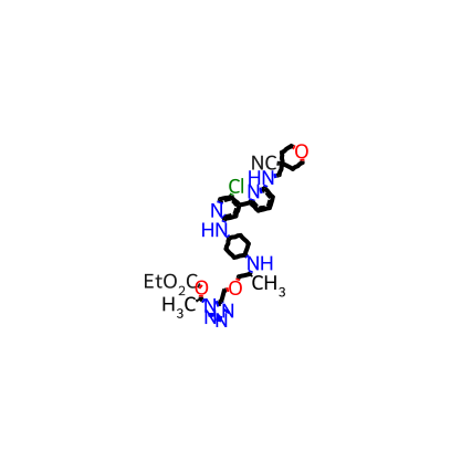 CCOC(=O)O[C@H](C)n1nnnc1COC[C@@H](C)NC1CCC(Nc2cc(-c3cccc(NCC4(C#N)CCOCC4)n3)c(Cl)cn2)CC1